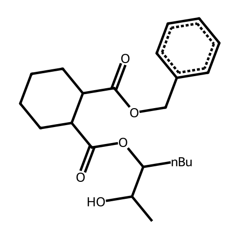 CCCCC(OC(=O)C1CCCCC1C(=O)OCc1ccccc1)C(C)O